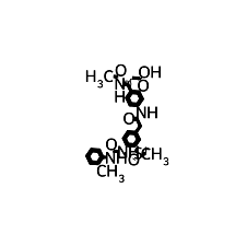 CC(=O)N[C@H](CC(=O)O)c1ccc(NC(=O)Cc2ccc(NC(=O)Nc3ccccc3C)c([S+](C)[O-])c2)cc1